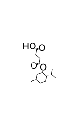 CC(C)[C@@H]1CC[C@@H](C)C[C@@H]1OC(=O)CCC(=O)O